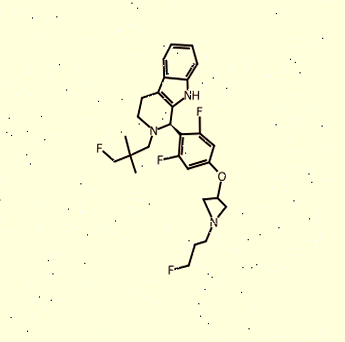 CC(C)(CF)CN1CCc2c([nH]c3ccccc23)[C@H]1c1c(F)cc(OC2CN(CCCF)C2)cc1F